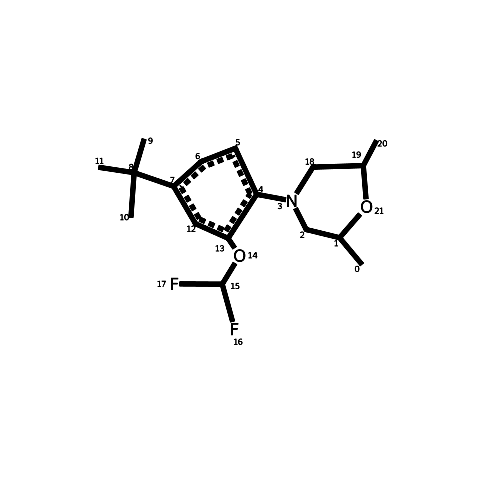 CC1CN(c2ccc(C(C)(C)C)cc2OC(F)F)CC(C)O1